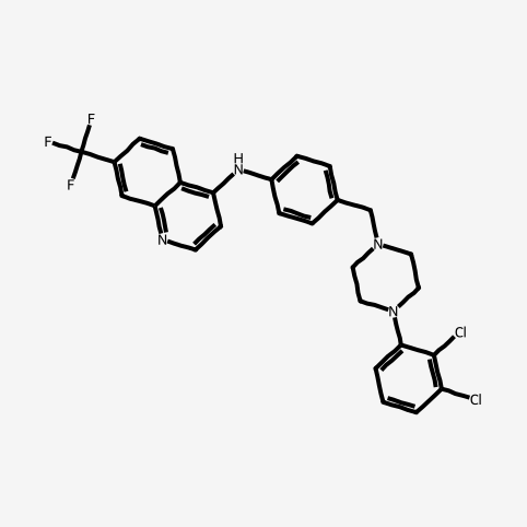 FC(F)(F)c1ccc2c(Nc3ccc(CN4CCN(c5cccc(Cl)c5Cl)CC4)cc3)ccnc2c1